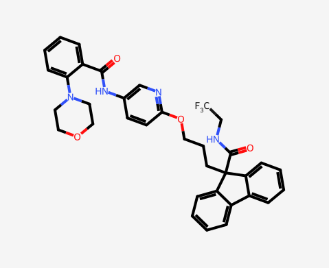 O=C(Nc1ccc(OCCCC2(C(=O)NCC(F)(F)F)c3ccccc3-c3ccccc32)nc1)c1ccccc1N1CCOCC1